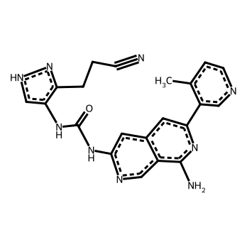 Cc1ccncc1-c1cc2cc(NC(=O)Nc3c[nH]nc3CCC#N)ncc2c(N)n1